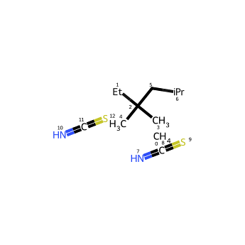 C.CCC(C)(C)CC(C)C.N=C=S.N=C=S